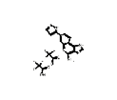 Nc1nc2cc(-c3ccn[nH]3)ccc2c2[nH]cnc12.O=C(O)C(F)(F)F.O=C(O)C(F)(F)F